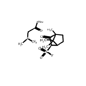 CC12CCC(C(S(=O)(=O)[O-])C1=O)C2(C)C.CCCCCCC(=O)C[S+](C)C